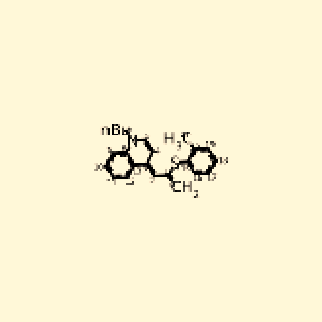 C=C(/C=C1\C=CN(CCCC)c2ccccc21)Sc1ccccc1C